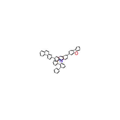 c1ccc(-c2ccccc2-c2c(-c3ccccc3)cccc2N(c2ccc(-c3ccc4c(ccc5ccccc54)c3)cc2)c2ccc(-c3ccc4c(c3)oc3ccccc34)cc2)cc1